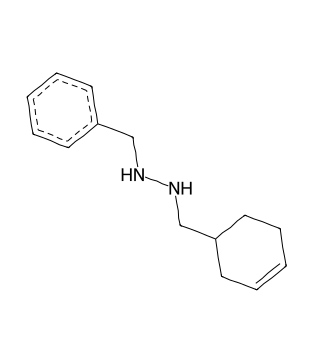 C1=CCC(CNNCc2ccccc2)CC1